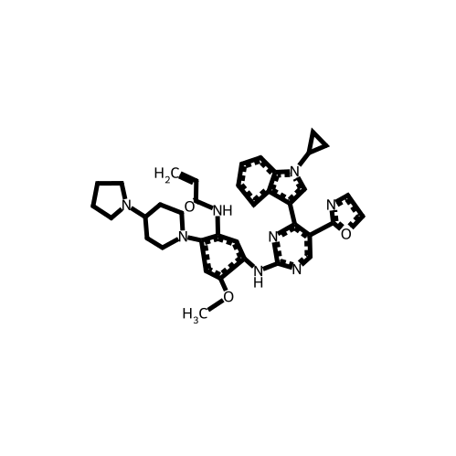 C=CC(=O)Nc1cc(Nc2ncc(-c3ncco3)c(-c3cn(C4CC4)c4ccccc34)n2)c(OC)cc1N1CCC(N2CCCC2)CC1